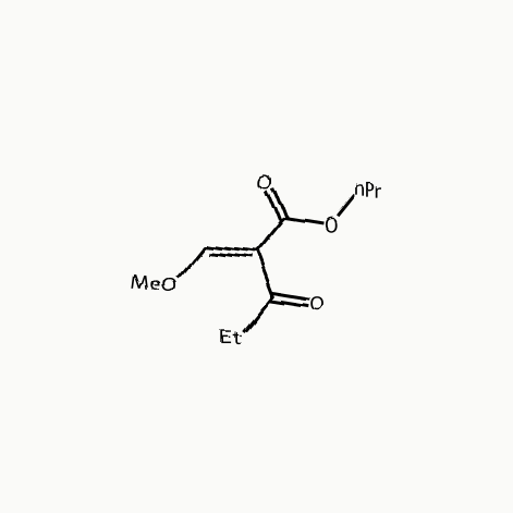 CCCOC(=O)C(=COC)C(=O)CC